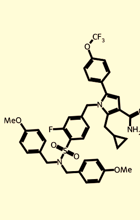 COc1ccc(CN(Cc2ccc(OC)cc2)S(=O)(=O)c2ccc(Cn3c(-c4ccc(OC(F)(F)F)cc4)cc(C(N)=O)c3CC3CC3)cc2F)cc1